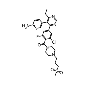 CCc1ncnc(-c2cc(F)c(C(=O)N3CCN(CCCS(C)(=O)=O)CC3)c(Cl)c2)c1-c1ccc(N)nc1